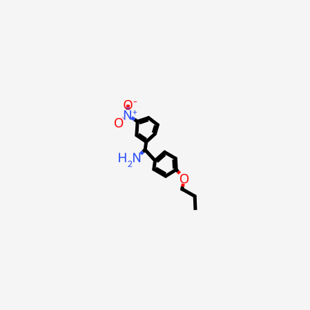 CCCOc1ccc(C(N)c2cccc([N+](=O)[O-])c2)cc1